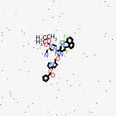 CC(C)(C)OC(=O)N1CCN(c2nc(OCC3CCC4(COC(=O)c5ccccc5)CCCN34)nc3c(F)c(-c4cccc5ccc(F)c(Cl)c45)ncc23)C[C@@H]1CC#N